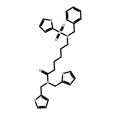 O=C(CCCCCN(Cc1ccccc1)S(=O)(=O)c1cccs1)N(Cc1cccs1)Cc1cccs1